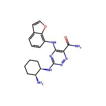 NC(=O)c1nnc(N[C@@H]2CCCC[C@@H]2N)nc1Nc1cccc2ccoc12